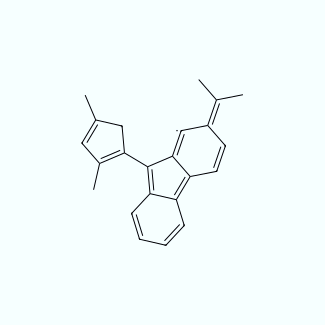 CC1=CC(C)=C(C2=c3ccccc3=c3ccc(=C(C)C)[c]c32)C1